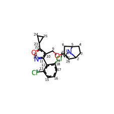 N#CN1C2CCC1CC(OCc1c(-c3c(Cl)cccc3Cl)noc1C1CC1)C2